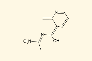 C=c1nccc/c1=C(O)/N=C(\C)[N+](=O)[O-]